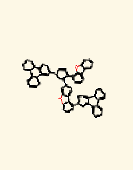 c1ccc2c(c1)oc1c(-c3ccc(-c4ccc5c6ccccc6c6ccccc6c5c4)cc3-c3ccc4c(c3)oc3cccc(-c5ccc6c7ccccc7c7ccccc7c6c5)c34)cccc12